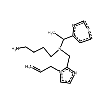 C=CCn1ccnc1CN(CCCCN)C(C)c1ccccn1